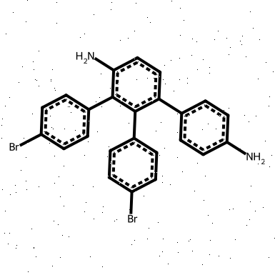 Nc1ccc(-c2ccc(N)c(-c3ccc(Br)cc3)c2-c2ccc(Br)cc2)cc1